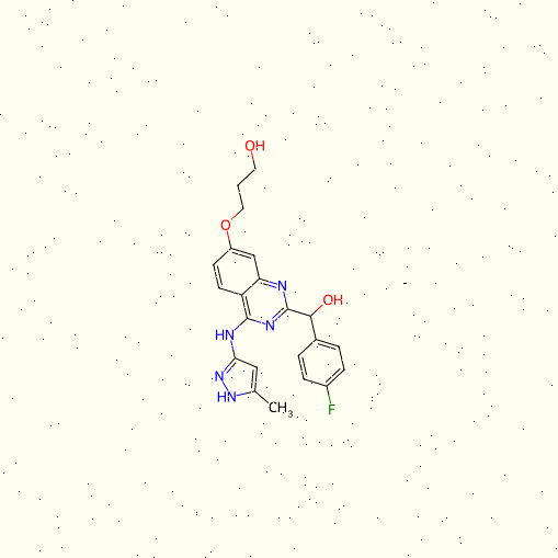 Cc1cc(Nc2nc(C(O)c3ccc(F)cc3)nc3cc(OCCCO)ccc23)n[nH]1